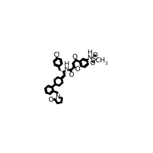 CS(=O)(=O)Nc1ccc2oc(C(=O)N[C@H](C=C3CCC(c4ccccc4CN4CCCC4=O)CC3)Cc3ccc(Cl)cc3)cc(=O)c2c1